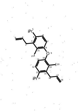 C=CCc1c(C(C)C)ccc(Oc2ccc(C(C)C)c(CC=C)c2I)c1I